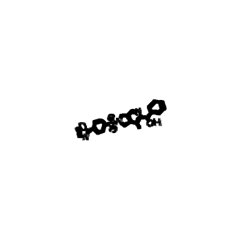 Cc1c(C(O)c2ccccc2)ncc2c1CN(S(=O)(=O)c1ccc(-c3ncco3)cc1)C2